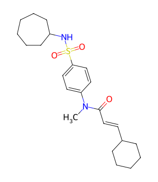 CN(C(=O)C=CC1CCCCC1)c1ccc(S(=O)(=O)NC2CCCCCC2)cc1